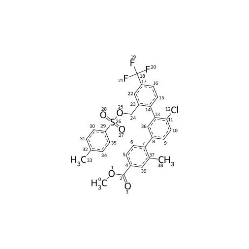 COC(=O)c1ccc(-c2ccc(Cl)c(-c3ccc(C(F)(F)F)cc3COS(=O)(=O)c3ccc(C)cc3)c2)c(C)c1